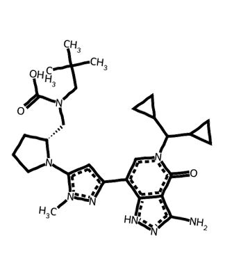 Cn1nc(-c2cn(C(C3CC3)C3CC3)c(=O)c3c(N)n[nH]c23)cc1N1CCC[C@@H]1CN(CC(C)(C)C)C(=O)O